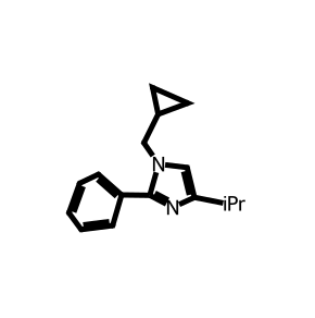 CC(C)c1cn(CC2CC2)c(-c2ccccc2)n1